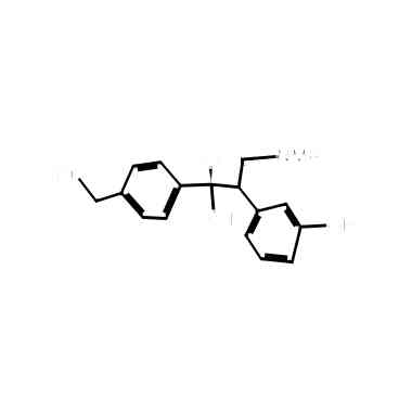 CCOC(=O)[C@@](C)(c1ccc(CC(C)C)cc1)C(CNC)c1cccc(O)c1